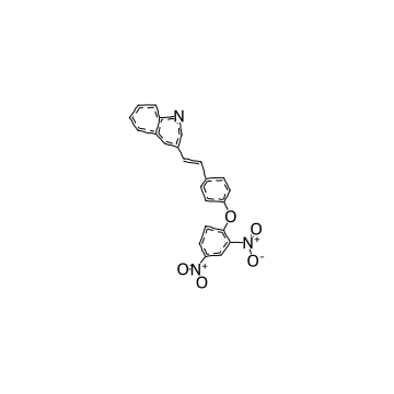 O=[N+]([O-])c1ccc(Oc2ccc(/C=C/c3cnc4ccccc4c3)cc2)c([N+](=O)[O-])c1